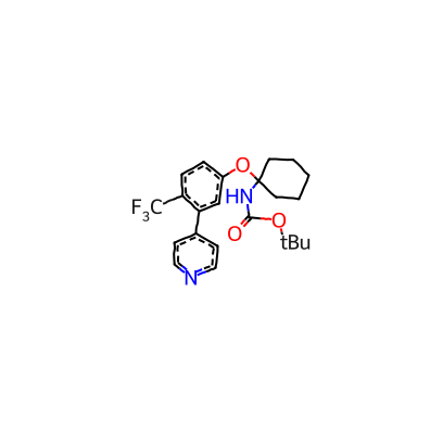 CC(C)(C)OC(=O)NC1(Oc2ccc(C(F)(F)F)c(-c3ccncc3)c2)CCCCC1